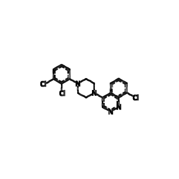 Clc1cccc(N2CCN(c3cnnc4c(Cl)cccc34)CC2)c1Cl